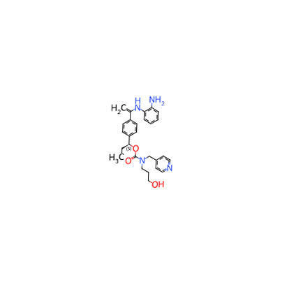 C=C(Nc1ccccc1N)c1ccc([C@H](CC)OC(=O)N(CCCO)Cc2ccncc2)cc1